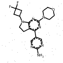 Nc1ncc(-c2nc(N3CCOCC3)nc3c2CCN3C2CC(F)(F)C2)cn1